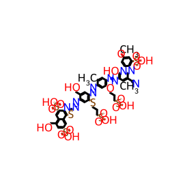 COc1cc(S(=O)(=O)O)c2nc3c(C#N)c(C)c(N=Nc4cc(C)c(N=Nc5cc(CO)c(N=Nc6nc7c(S(=O)(=O)O)cc8c(CO)cc(S(=O)(=O)O)cc8c7s6)cc5SCCCS(=O)(=O)O)cc4OCCCS(=O)(=O)O)c(O)n3c2c1